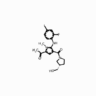 CC(=O)c1cc(C(=O)N2CC[C@H](CO)C2)c(Nc2ccc(I)cc2F)n1C